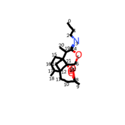 CCC/N=C1/OC2OC3(C)CCC45CC(CCC4C)(C1C)C25OO3